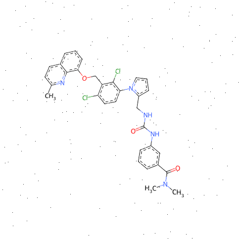 Cc1ccc2cccc(OCc3c(Cl)ccc(-n4cccc4CNC(=O)Nc4cccc(C(=O)N(C)C)c4)c3Cl)c2n1